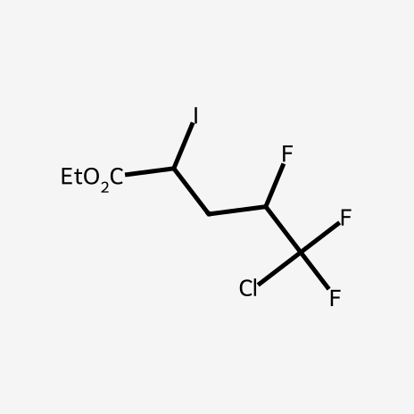 CCOC(=O)C(I)CC(F)C(F)(F)Cl